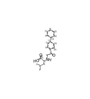 CC(C)CC(NCC(=O)c1ccc(-c2ccccc2)cc1)C(=O)O